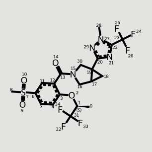 C[C@H](Oc1ccc(S(C)(=O)=O)cc1C(=O)N1CC2CC2(c2nc(C(F)(F)F)n(C)n2)C1)C(F)(F)F